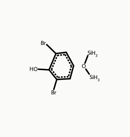 Oc1c(Br)cccc1Br.[SiH3]O[SiH3]